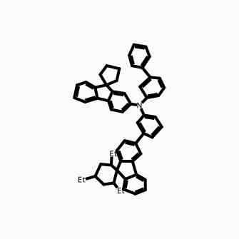 CCC1CC(CC)C2(c3ccccc3-c3cc(-c4cccc(N(c5cccc(-c6ccccc6)c5)c5ccc6c(c5)C5(CCCC5)c5ccccc5-6)c4)ccc32)C(CC)C1